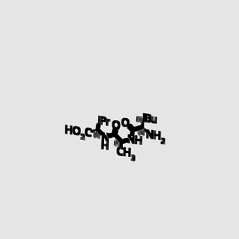 CC[C@H](C)[C@H](N)C(=O)N[C@@H](C)C(=O)N[C@H](C(=O)O)C(C)C